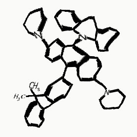 CC1(C)c2ccccc2-c2ccc(-c3c4cc(N5CCCCC5)ccc4c(N4c5ccccc5Cc5ccccc54)c4cc(N5CCCCC5)ccc34)cc21